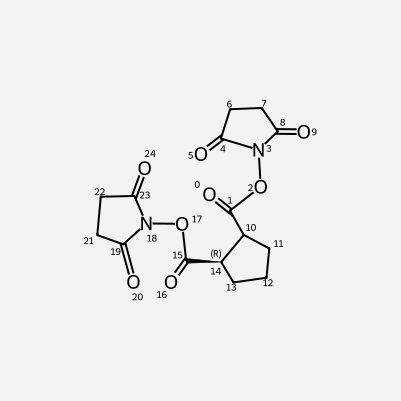 O=C(ON1C(=O)CCC1=O)C1CCC[C@H]1C(=O)ON1C(=O)CCC1=O